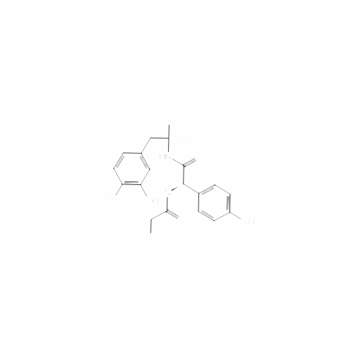 C[C@@](O)(Cc1ccc(O)c(O)c1)NC(=O)[C@H](NC(=O)CO)c1ccc(O)cc1